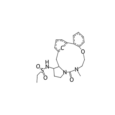 CCS(=O)(=O)NC1CCN2C(=O)N(C)CCOc3ccccc3-c3cccc(c3)CC12